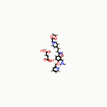 CN(C)Cc1c(OCc2ccccn2)ccc2c(CCC3CCN(CC4OCCO4)CC3)noc12.O=C(O)C=CC(=O)O